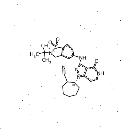 CC(C)(C)N1Cc2cc(Nc3nn([C@@H]4CCCCCC4C#N)c4cc[nH]c(=O)c34)ccc2S1(=O)=O